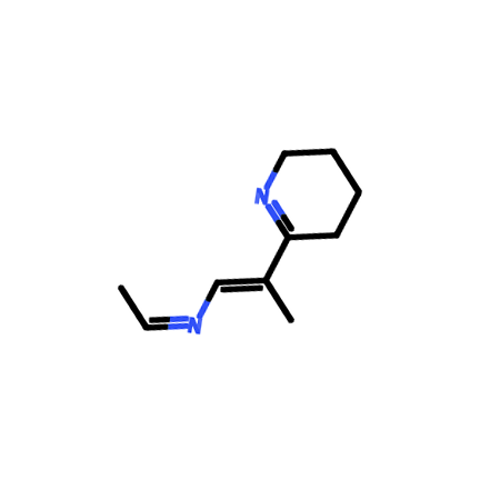 C/C=N\C=C(/C)C1=NCCCC1